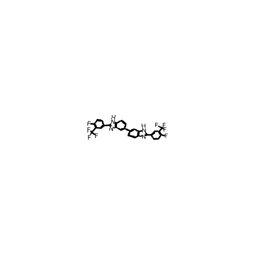 Fc1ccc(-c2nc3cc(-c4ccc5nc(-c6ccc(F)c(C(F)(F)F)c6)[nH]c5c4)ccc3[nH]2)cc1C(F)(F)F